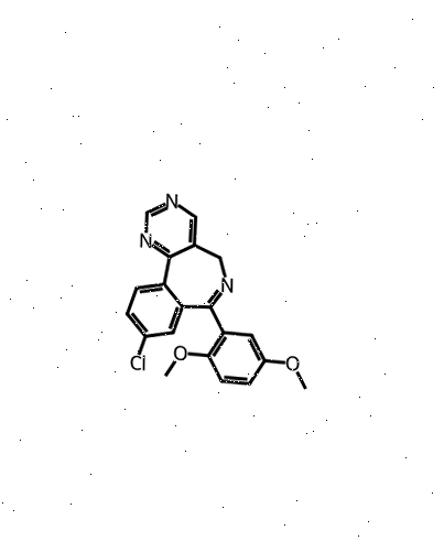 COc1ccc(OC)c(C2=NCc3cncnc3-c3ccc(Cl)cc32)c1